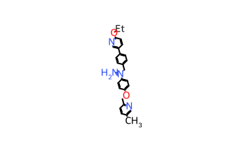 CCOc1ccc(-c2ccc(CN(N)c3ccc(OCc4ccc(C)cn4)cc3)cc2)cn1